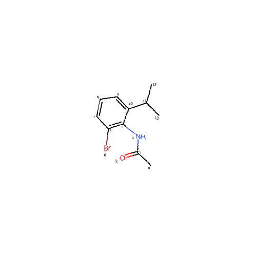 CC(=O)Nc1c(Br)cccc1C(C)C